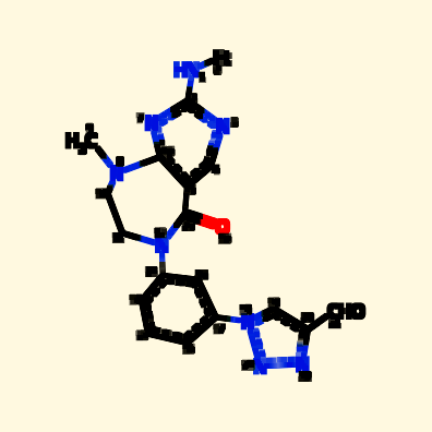 CCNc1ncc2c(n1)N(C)CCN(c1cccc(-n3cc(C=O)nn3)c1)C2=O